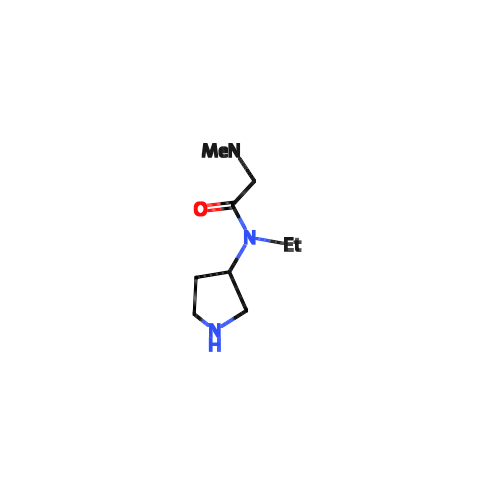 CCN(C(=O)CNC)C1CCNC1